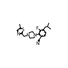 Cc1cnc(CN2CCN(c3c(C#N)ccc(CC(C)C)c3F)CC2)s1